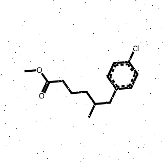 COC(=O)CCCC(C)Cc1ccc(Cl)cc1